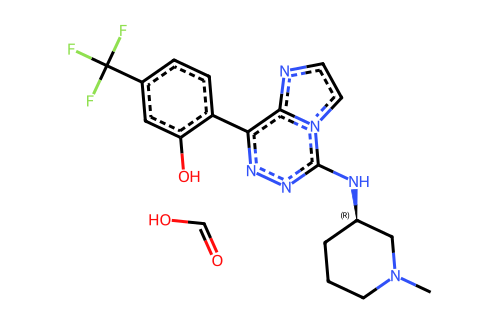 CN1CCC[C@@H](Nc2nnc(-c3ccc(C(F)(F)F)cc3O)c3nccn23)C1.O=CO